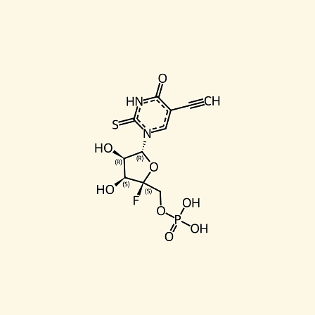 C#Cc1cn([C@@H]2O[C@](F)(COP(=O)(O)O)[C@@H](O)[C@H]2O)c(=S)[nH]c1=O